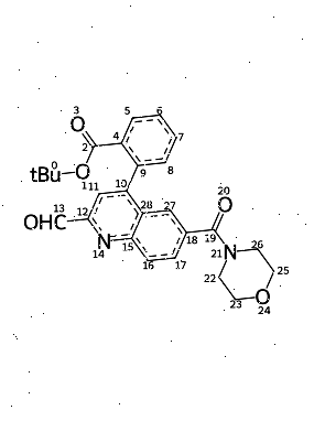 CC(C)(C)OC(=O)c1ccccc1-c1cc(C=O)nc2ccc(C(=O)N3CCOCC3)cc12